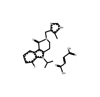 Cc1[nH]cnc1CN1CCc2c(c3cccc(F)c3n2C(C)C)C1=O.O=C(O)C=CC(=O)O